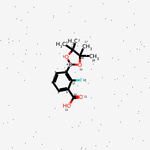 CC1(C)OB(c2cccc(C(=O)O)c2F)OC1(C)C